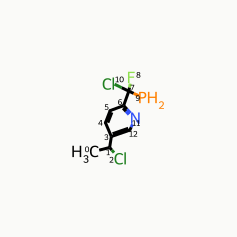 CC(Cl)c1ccc(C(F)(P)Cl)nc1